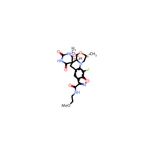 COCCNC(=O)c1noc2c(F)c3c(cc12)CC1(C(=O)NC(=O)NC1=O)[C@H]1[C@H](C)O[C@H](C)CN31